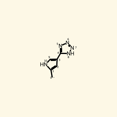 [CH2]c1cc(-c2nnn[nH]2)c[nH]1